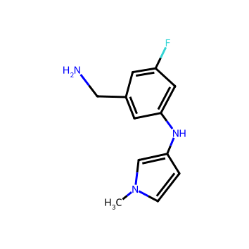 Cn1ccc(Nc2cc(F)cc(CN)c2)c1